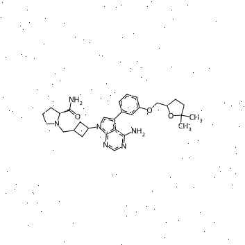 CC1(C)CCC(COc2cccc(-c3cn(C4CC(CN5CCC[C@H]5C(N)=O)C4)c4ncnc(N)c34)c2)O1